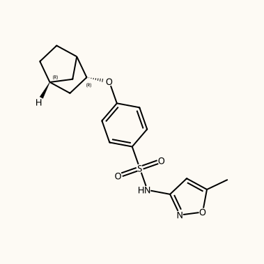 Cc1cc(NS(=O)(=O)c2ccc(O[C@@H]3C[C@@H]4CCC3C4)cc2)no1